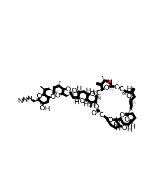 C=C1C2C[C@@H]3O[C@H]4C[C@H]5O[C@@]6(CC7O[C@]8(C[C@H](C)C9O[C@H](CN=[N+]=[N-])[C@H](O)CC9O8)C[C@H](C)C7O6)C[C@H]5O[C@H]4[C@H](C)[C@H]3OC(=O)CC3CC[C@@H]4O[C@@H]5C[C@@H](O[C@@]6(C/C=C7/CC(=C)[C@H](CC[C@@H](C[C@H]1C)O2)O7)CC[C@@H]5O6)[C@H]4O3